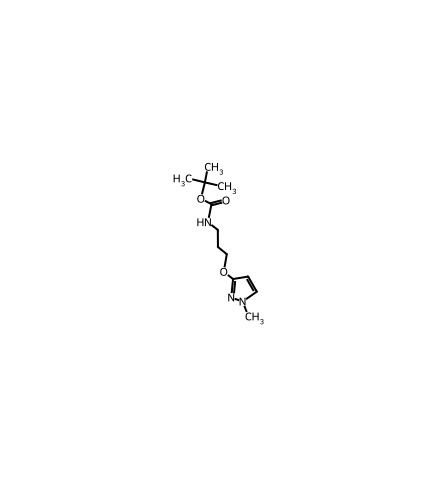 Cn1ccc(OCCCNC(=O)OC(C)(C)C)n1